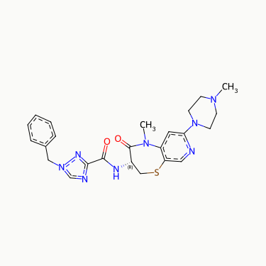 CN1CCN(c2cc3c(cn2)SC[C@H](NC(=O)c2ncn(Cc4ccccc4)n2)C(=O)N3C)CC1